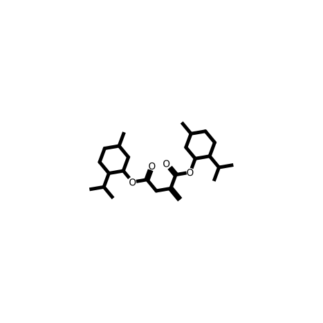 C=C(CC(=O)OC1CC(C)CCC1C(C)C)C(=O)OC1CC(C)CCC1C(C)C